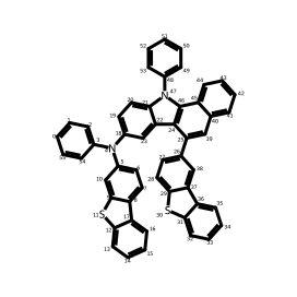 c1ccc(N(c2ccc3c(c2)sc2ccccc23)c2ccc3c(c2)c2c(-c4ccc5sc6ccccc6c5c4)cc4ccccc4c2n3-c2ccccc2)cc1